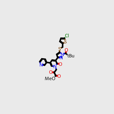 COC(=O)C(=O)Cn1cc(-c2cccnc2)cc(-c2cc(SCc3ccc(Cl)s3)n(C(=O)C(C)(C)C)n2)c1=O